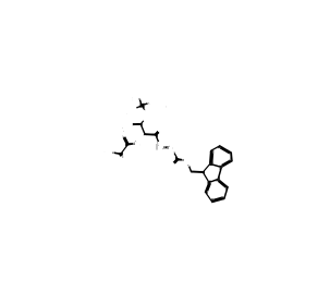 CC(OC(C)(C)C)[C@@H](NC(=O)C(=O)O)C(=O)NNC(=O)OCC1c2ccccc2-c2ccccc21